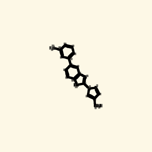 O=C(O)c1cnn(-c2nc3cc(-c4cccc(C(F)(F)F)c4)ccc3[nH]2)c1